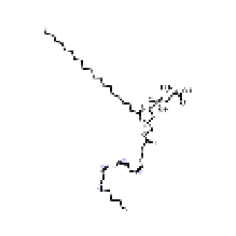 CCCCC/C=C\C/C=C\C/C=C\C/C=C\CCCC(=O)OC[C@H](COP(=O)(O)OC[C@H](N)C(=O)O)OC(=O)CCCCCCCCCCCCCCCCCCCC